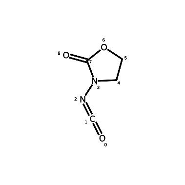 O=C=NN1CCOC1=O